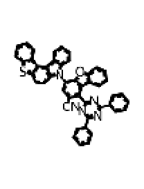 N#Cc1cc(-n2c3ccccc3c3c4c(ccc32)sc2ccccc24)c2oc3ccccc3c2c1-c1nc(-c2ccccc2)nc(-c2ccccc2)n1